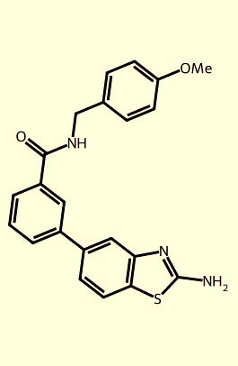 COc1ccc(CNC(=O)c2cccc(-c3ccc4sc(N)nc4c3)c2)cc1